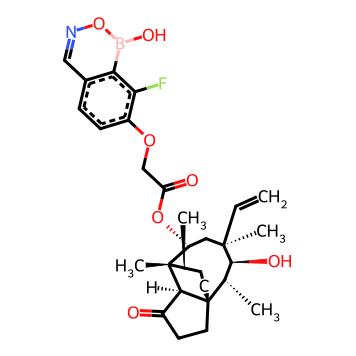 C=C[C@]1(C)C[C@@H](OC(=O)COc2ccc3c(c2F)B(O)ON=C3)[C@]2(C)[C@H](C)CC[C@]3(CCC(=O)[C@H]32)[C@@H](C)[C@@H]1O